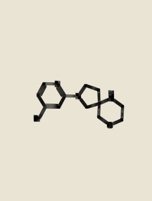 Brc1ccnc(N2CCC3(COCCN3)C2)c1